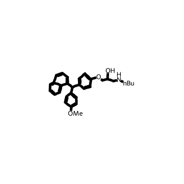 CCCCNCC(O)COc1ccc(C(c2ccc(OC)cc2)c2cccc3ccccc23)cc1